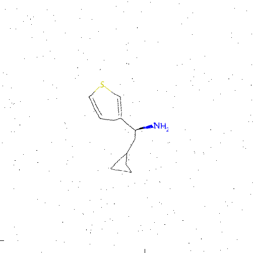 N[C@H](c1ccsc1)C1CC1